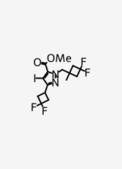 COC(=O)c1c(I)c(C2CC(F)(F)C2)nn1CC1(C)CC(F)(F)C1